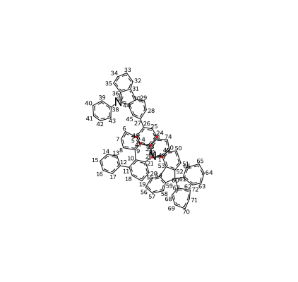 c1ccc(-c2ccccc2-c2c(-c3ccccc3)cccc2N(c2ccc(-c3ccc4c5ccccc5n(-c5ccccc5)c4c3)cc2)c2cccc3c2-c2ccccc2C3(c2ccccc2)c2ccccc2)cc1